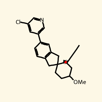 COC1CCC2(Cc3ccc(-c4cncc(Cl)c4)cc3C2)C2(C1)N=CC(C)=N2